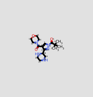 CC(C)(C)C(=O)n1cc(C(=O)N2CCOCC2)c(C2CNCCN2)n1